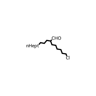 CCCCCCCCCCC(C=O)CCCCCCCl